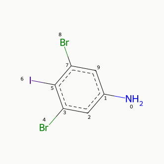 Nc1cc(Br)c(I)c(Br)c1